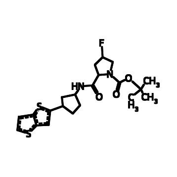 CC(C)(C)OC(=O)N1CC(F)CC1C(=O)NC1CCC(c2cc3sccc3s2)C1